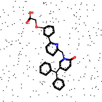 O=C(O)COc1cccc(-c2cccc(Cn3cc(C(c4ccccc4)c4ccccc4)ccc3=O)n2)c1